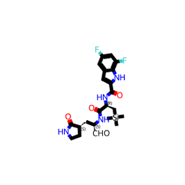 C[Si](C)(C)C[C@H](NC(=O)c1cc2cc(F)cc(F)c2[nH]1)C(=O)N[C@H](C=O)C[C@@H]1CCNC1=O